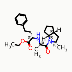 CCOC(=O)[C@H](CCc1ccccc1)N[C@@H](C)C(=O)N1[C@@H]2CCC[C@@H]2C[C@@H]1C